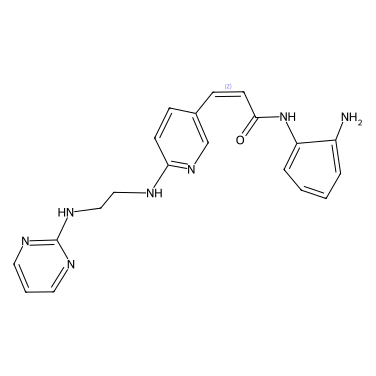 Nc1ccccc1NC(=O)/C=C\c1ccc(NCCNc2ncccn2)nc1